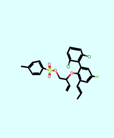 C=CC(COS(=O)(=O)c1ccc(C)cc1)Oc1c(C=CC)cc(F)cc1-c1c(Cl)cccc1Cl